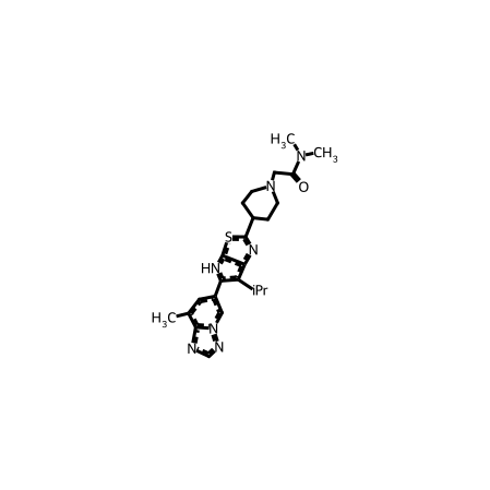 Cc1cc(-c2[nH]c3sc(C4CCN(CC(=O)N(C)C)CC4)nc3c2C(C)C)cn2ncnc12